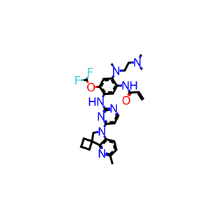 C=CC(=O)Nc1cc(Nc2nccc(N3CC4(CCC4)c4nc(C)ccc43)n2)c(OC(F)F)cc1N(C)CCN(C)C